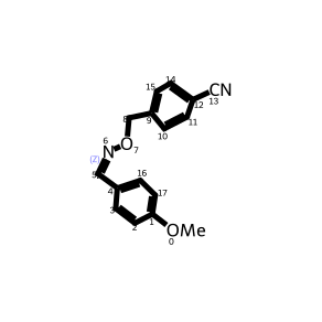 COc1ccc(/[C]=N\OCc2ccc(C#N)cc2)cc1